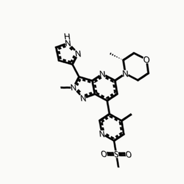 Cc1cc(S(C)(=O)=O)ncc1-c1cc(N2CCOC[C@H]2C)nc2c(-c3cc[nH]n3)n(C)nc12